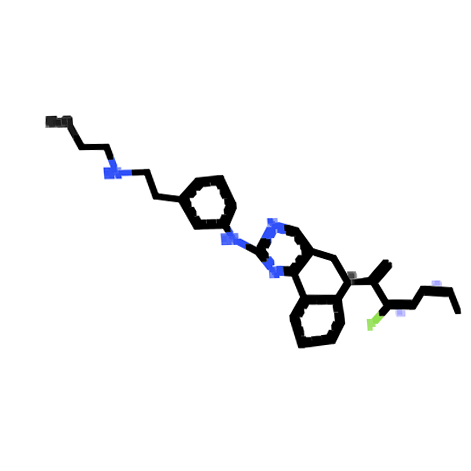 C=C(/C(F)=C\C=C/C)[C@@H]1Cc2cnc(Nc3cccc(CCNCCOC)c3)nc2-c2ccccc21